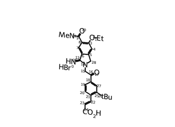 Br.CCOc1cc2c(cc1C(=O)NC)C(=N)N(CC(=O)c1ccc(C=CC(=O)O)c(C(C)(C)C)c1)C2